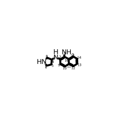 Nc1c(NC2CCNC2)ccc2ccccc12